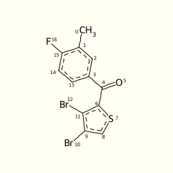 Cc1cc(C(=O)c2scc(Br)c2Br)ccc1F